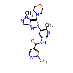 Cc1ncc(NC(=O)c2ccnc(C(F)(F)F)c2)cc1-c1nc(N2CCOCC2)c2c(cnn2C)n1